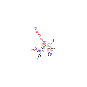 CCCCCCN(C(=O)[C@@H](NC(=O)[C@H]1CCCCN1C)[C@@H](C)CC)[C@H](C[C@@H](OC(=O)NCCOCCOCCOCCNC)c1nc(C(=O)N[C@@H](Cc2ccc(F)cc2)CC(C)(C)C(=O)O)cs1)C(C)C